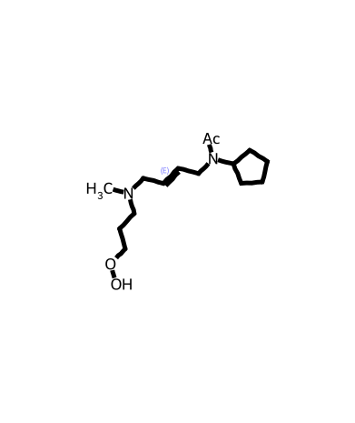 CC(=O)N(C/C=C/CN(C)CCCOO)C1CCCC1